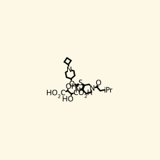 CC(C)CC(=O)N1CCc2nc(OC3CCN(C4CCC4)CC3)sc2C1.O=C(O)C(O)C(O)C(=O)O